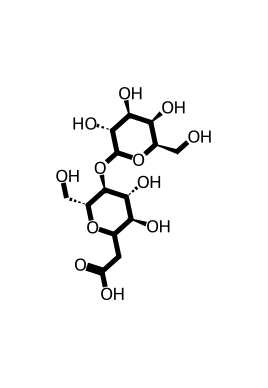 O=C(O)CC1O[C@H](CO)[C@@H](OC2O[C@H](CO)[C@H](O)[C@H](O)[C@H]2O)[C@H](O)[C@H]1O